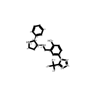 Oc1ccc(-n2nnnc2C(F)(F)F)cc1CN[C@H]1CCN[C@H]1c1ccccc1